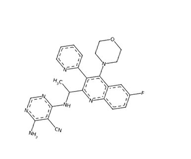 CC(Nc1ncnc(N)c1C#N)c1nc2ccc(F)cc2c(N2CCOCC2)c1-c1ccccn1